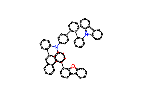 c1ccc(-c2ccccc2-n2c3ccccc3c3ccccc32)c(-c2ccc(N(c3ccc(-c4cccc5c4oc4ccccc45)cc3)c3ccccc3-c3cc4ccccc4c4ccccc34)cc2)c1